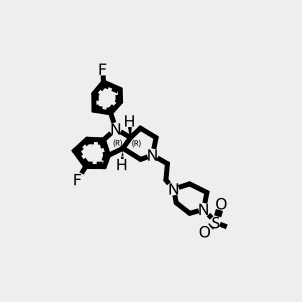 CS(=O)(=O)N1CCN(CCN2CC[C@@H]3[C@@H](C2)c2cc(F)ccc2N3c2ccc(F)cc2)CC1